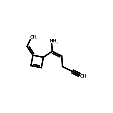 C#CC/C=C(/N)C1C=C/C1=C/C